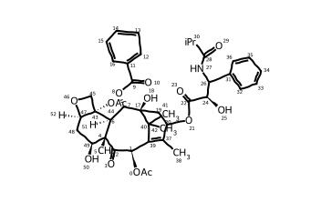 CC(=O)O[C@H]1C(=O)[C@@]2(C)[C@H]([C@H](OC(=O)c3ccccc3)[C@]3(O)CC(OC(=O)[C@H](O)C(NC(=O)C(C)C)c4ccccc4)C(C)=C1C3(C)C)[C@]1(OC(C)=O)CO[C@@H]1C[C@@H]2O